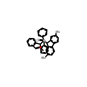 CC1=Cc2ccccc2[CH]1[Zr](=[SiH2])([c]1ccccc1)([c]1ccccc1)[CH]1c2cc(C(C)(C)C)ccc2-c2ccc(C(C)(C)C)cc21